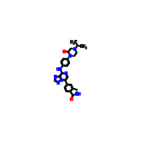 CC(C)N1CCN(c2ccc(Nc3ncc(-c4ccc5c(c4)CNC5=O)n4ncnc34)cc2)C(=O)C1